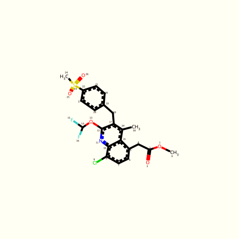 COC(=O)Cc1ccc(Cl)c2nc(OC(F)F)c(Cc3ccc(S(C)(=O)=O)cc3)c(C)c12